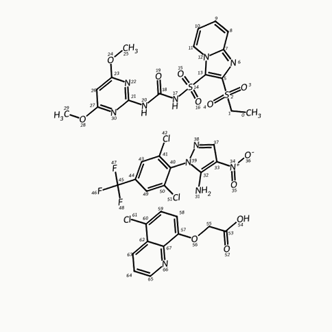 CCS(=O)(=O)c1nc2ccccn2c1S(=O)(=O)NC(=O)Nc1nc(OC)cc(OC)n1.Nc1c([N+](=O)[O-])cnn1-c1c(Cl)cc(C(F)(F)F)cc1Cl.O=C(O)COc1ccc(Cl)c2cccnc12